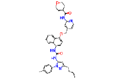 CCCCc1cc(NC(=O)Nc2ccc(OCc3ccnc(NC(=O)C4CCOCC4)c3)c3ccccc23)n(-c2ccc(C)cc2)n1